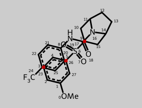 COc1cccc(S(=O)(=O)C2CC3CCC(C2)N3C(=O)Nc2ccc(C(F)(F)F)cc2)c1